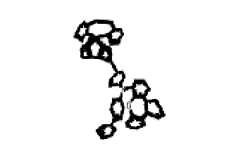 C1=Cc2ccccc2C2(c3ccccc31)c1ccccc1-c1cc(-c3ccc(N(c4ccc(-c5ccccc5)cc4)c4cccc5c4Oc4ccccc4-c4ccccc4-5)cc3)ccc12